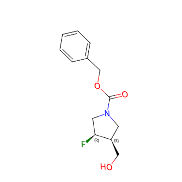 O=C(OCc1ccccc1)N1C[C@@H](CO)[C@@H](F)C1